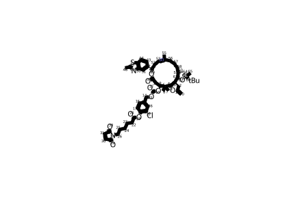 C=CC[C@H]1C(=O)C(C)(C)[C@@H](OC(=O)OCc2ccc(OC(=O)CCCCCN3C(=O)C=CC3=O)c(Cl)c2)CC(=O)O[C@H](c2ccc3sc(C)nc3c2)C/C=C(/C)CCC[C@H](C)[C@@H]1O[Si](C)(C)C(C)(C)C